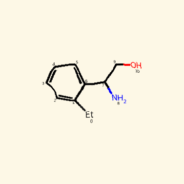 CCc1ccccc1C(N)CO